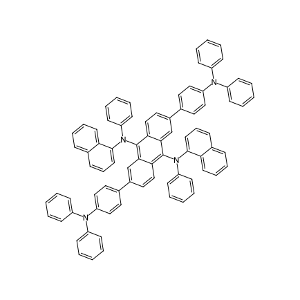 c1ccc(N(c2ccccc2)c2ccc(-c3ccc4c(N(c5ccccc5)c5cccc6ccccc56)c5cc(-c6ccc(N(c7ccccc7)c7ccccc7)cc6)ccc5c(N(c5ccccc5)c5cccc6ccccc56)c4c3)cc2)cc1